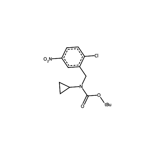 CC(C)(C)OC(=O)N(Cc1cc([N+](=O)[O-])ccc1Cl)C1CC1